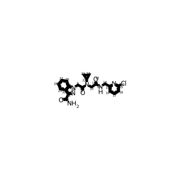 NC(=O)c1nn(CC(=O)N(CC(=O)NCc2cccc(Cl)n2)C2CC2)c2ccccc12